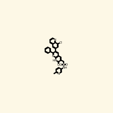 Cc1ccc(NS(=O)(=O)Cc2cc3cc(-c4cc(Cl)c5ncccc5c4)c(-c4ccccc4)nc3[nH]c2=O)cn1